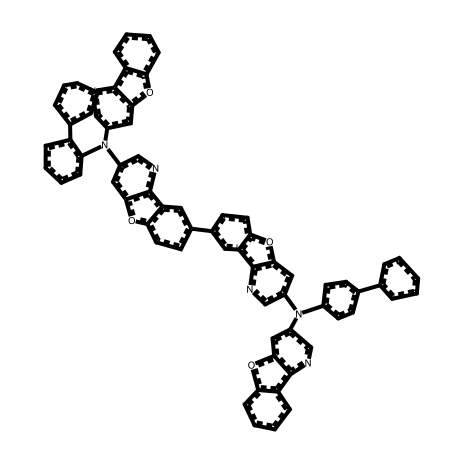 c1ccc(-c2ccc(N(c3cnc4c(c3)oc3ccccc34)c3cnc4c(c3)oc3ccc(-c5ccc6oc7cc(N(c8cnc9c(c8)oc8ccccc89)c8ccccc8-c8ccccc8)cnc7c6c5)cc34)cc2)cc1